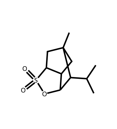 CC(C)C1C2OS(=O)(=O)C3CC1(C)CC23